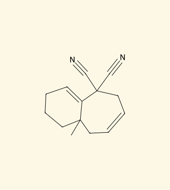 CC12CC=CCC(C#N)(C#N)C1=CCCC2